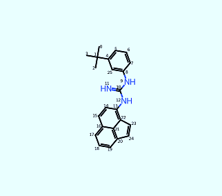 CC(C)(C)c1cccc(NC(=N)Nc2ccc3cccc4c3c2C=C4)c1